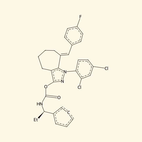 CC[C@@H](NC(=O)Oc1nn(-c2ccc(Cl)cc2Cl)c2c1CCCC/C2=C\c1ccc(F)cc1)c1ccccc1